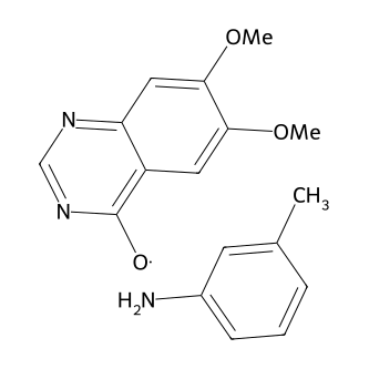 COc1cc2ncnc([O])c2cc1OC.Cc1cccc(N)c1